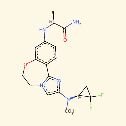 C[C@H](Nc1ccc2c(c1)OCCn1cc(N(C(=O)O)[C@H]3CC3(F)F)nc1-2)C(N)=O